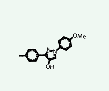 COc1ccc(-n2cc(O)c(-c3ccc(C)cc3)n2)cc1